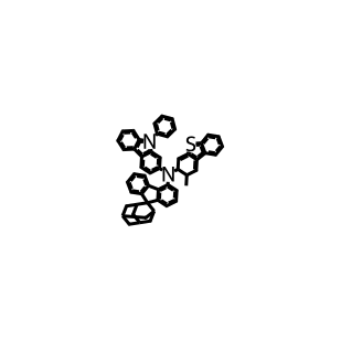 CC1C=c2c(sc3ccccc23)=CC1N(c1ccc2c3ccccc3n(-c3ccccc3)c2c1)c1cccc2c1-c1ccccc1C21C2CC3CC(C2)CC1C3